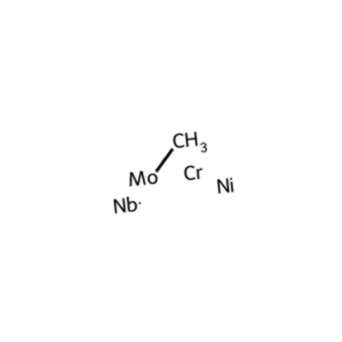 [CH3][Mo].[Cr].[Nb].[Ni]